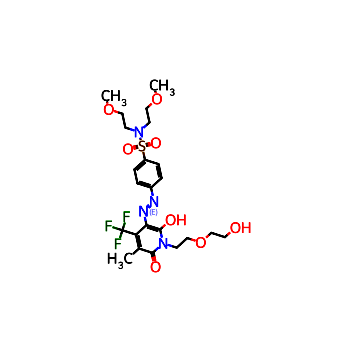 COCCN(CCOC)S(=O)(=O)c1ccc(/N=N/c2c(C(F)(F)F)c(C)c(=O)n(CCOCCO)c2O)cc1